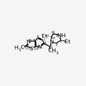 CC[C@H]1CN(C(C)c2ccc3nc(C)sc3n2)[C@H](CC)CN1